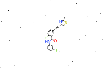 Cc1nc(C#Cc2ccc(F)c(C(=O)Nc3cccc(F)c3)c2)cs1